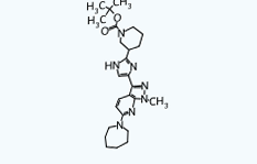 Cn1nc(-c2c[nH]c(C3CCCN(C(=O)OC(C)(C)C)C3)n2)c2ccc(N3CCCCCC3)nc21